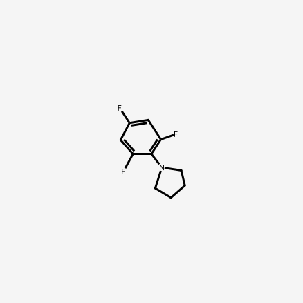 Fc1cc(F)c(N2CCCC2)c(F)c1